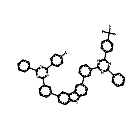 Cc1ccc(-c2nc(-c3ccccc3)nc(-c3cccc(-c4ccc5sc6ccc(-c7cccc(-c8nc(-c9ccccc9)nc(-c9ccc(C(F)(F)F)cc9)n8)c7)cc6c5c4)c3)n2)cc1